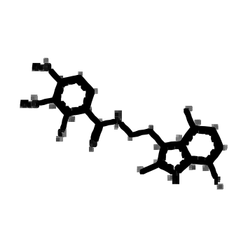 COc1ccc(C(=O)NCCc2c(C)[nH]c3c(F)ccc(C)c23)c(Cl)c1OC